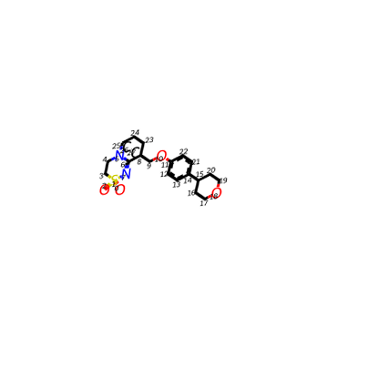 O=S1(=O)CCN2C(=N1)C1(COc3ccc(C4CCOCC4)cc3)CCC2CC1